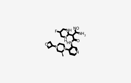 C[C@H]1CN(C2COC2)CCN1c1ccncc1NC(=O)C(C(N)N=O)C1NCC(F)CN1